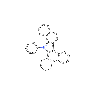 C1=Cc2c(c3ccccc3c3c4ccc5ccccc5c4n(-c4ccccc4)c23)CC1